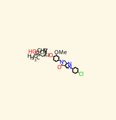 COc1cc(N2Cc3nn(-c4ccc(Cl)cc4)cc3C2=O)ccc1OC[C@H](CC(C)(C)[Si](C)(C)O)C1CC1